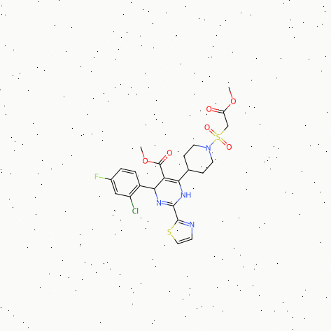 COC(=O)CS(=O)(=O)N1CCC(C2=C(C(=O)OC)C(c3ccc(F)cc3Cl)N=C(c3nccs3)N2)CC1